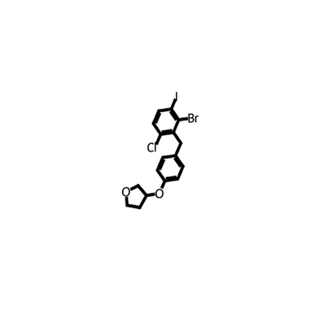 Clc1ccc(I)c(Br)c1Cc1ccc(OC2CCOC2)cc1